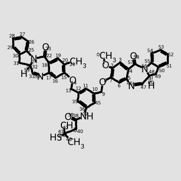 COc1cc2c(cc1OCc1cc(COc3cc4c(cc3C)C(=O)N3c5ccccc5C[C@H]3C=N4)cc(NC(=O)CC(C)(C)S)c1)N=C[C@@H]1Cc3ccccc3N1C2=O